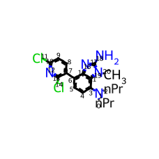 CCCN(CCC)c1ccc(-c2ccc(Cl)nc2Cl)c2nc(N)n(C)c12